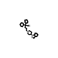 N#CC(CCCN1CCC(n2ncc3ccccc32)CC1)(c1ccccc1)c1ccccc1